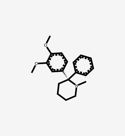 COc1ccc([C@@]2(c3ccccc3)CCCCN2C)cc1OC